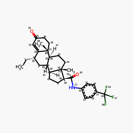 CC[C@H]1C[C@H]2[C@@H]3CC[C@H](C(=O)Nc4ccc(C(F)(F)F)cc4)[C@@]3(C)CC[C@@H]2[C@@]2(C)CCC(=O)C=C12